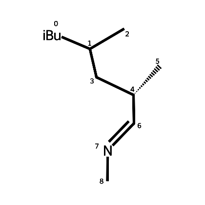 CCC(C)C(C)C[C@H](C)/C=N/C